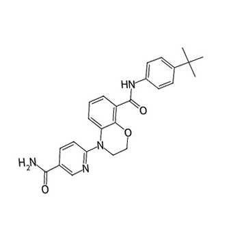 CC(C)(C)c1ccc(NC(=O)c2cccc3c2OCCN3c2ccc(C(N)=O)cn2)cc1